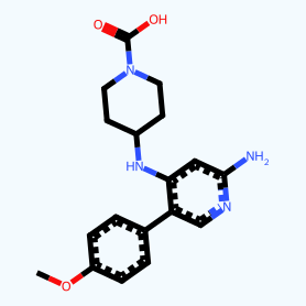 COc1ccc(-c2cnc(N)cc2NC2CCN(C(=O)O)CC2)cc1